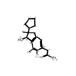 CC1(C2CCCC2)Cc2cc(CC(N)=O)c(Cl)c(Cl)c2C1O